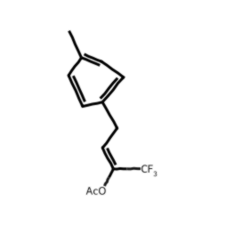 CC(=O)OC(=CCc1ccc(C)cc1)C(F)(F)F